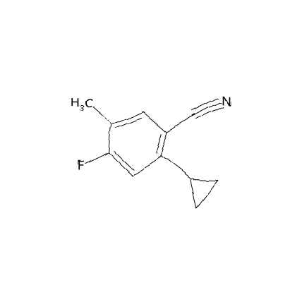 Cc1cc(C#N)c(C2CC2)cc1F